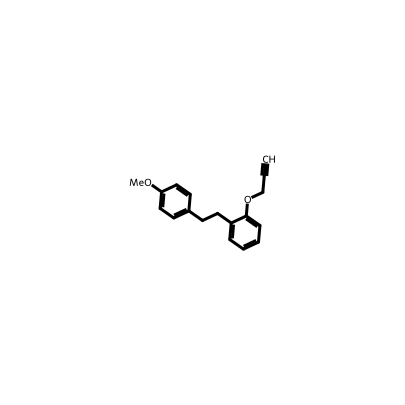 C#CCOc1ccccc1CCc1ccc(OC)cc1